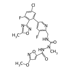 COc1cc(C(=O)NN(C)C(=O)NCc2ncc(-c3cc(Cl)cc(F)c3-c3noc(C)n3)cc2F)on1